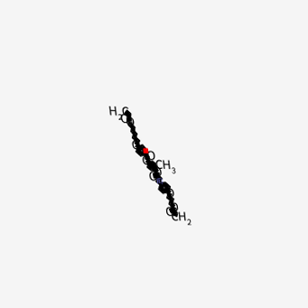 C=CC(=O)OCCCCCCOc1ccc(C(=O)Oc2ccc(OC(=O)/C=C/c3ccc(OCCCOC(=O)C=C)cc3)c(C)c2)cc1